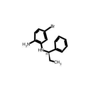 CC[C@@H](Nc1cc(Br)ccc1N)c1ccccc1